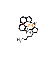 CCCCC1=CC[C]([Hf][C]2(Pc3ccccc3C)C=Cc3ccccc32)=C1C